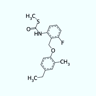 CCc1ccc(OCc2c(F)cccc2NC(=O)SC)c(C)c1